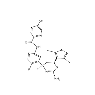 Cc1noc(C)c1[C@@H]1C[C@](C)(c2cc(NC(=O)c3ccc(C#N)cn3)ccc2F)N=C(N)S1